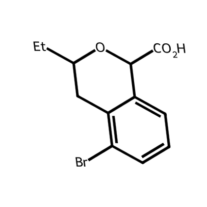 CCC1Cc2c(Br)cccc2C(C(=O)O)O1